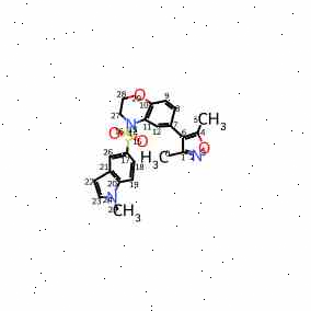 Cc1noc(C)c1-c1ccc2c(c1)N(S(=O)(=O)c1ccc3c(ccn3C)c1)CCO2